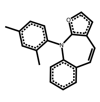 Cc1ccc(N2c3ccccc3C=Cc3ccoc32)c(C)c1